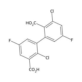 O=C(O)c1cc(F)cc(-c2cc(F)cc(Cl)c2C(=O)O)c1Cl